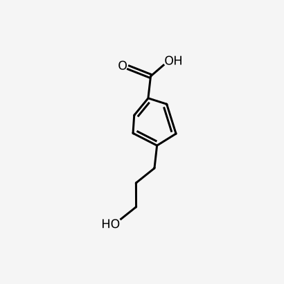 O=C(O)c1ccc(CCCO)cc1